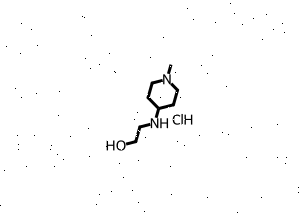 CN1CCC(NCCO)CC1.Cl